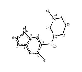 Cc1cc2cn[nH]c2cc1OC1CCCN(C)C1